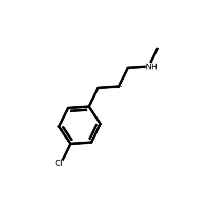 CNC[CH]Cc1ccc(Cl)cc1